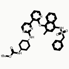 Cc1cc(NS(=O)(=O)Cc2ccccc2)c2ccccc2c1Oc1ncccc1-c1ccnc(N[C@H]2CC[C@H](NC(=O)OC(C)(C)C)CC2)n1